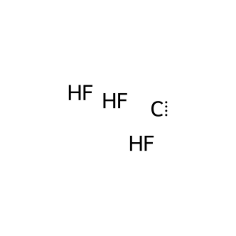 F.F.F.[C]